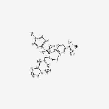 O=C(C[C@@H]1CCc2cc(C(O)(C(F)(F)F)C(F)(F)F)ccc2N1S(=O)(=O)c1ccc(F)cc1)N[C@@H]1COC[C@H]1O